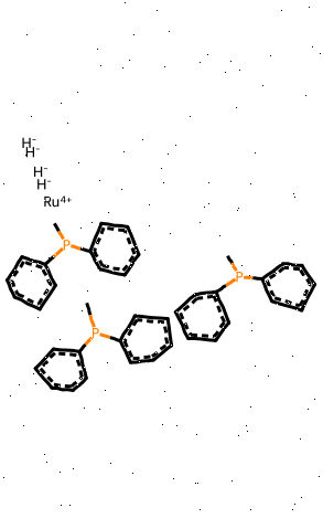 CP(c1ccccc1)c1ccccc1.CP(c1ccccc1)c1ccccc1.CP(c1ccccc1)c1ccccc1.[H-].[H-].[H-].[H-].[Ru+4]